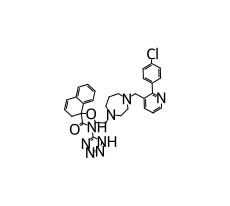 O=C(Nc1nnn[nH]1)C1(OCCN2CCCN(Cc3cccnc3-c3ccc(Cl)cc3)CC2)CC=Cc2ccccc21